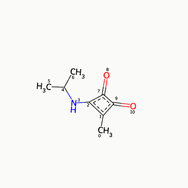 Cc1c(NC(C)C)c(=O)c1=O